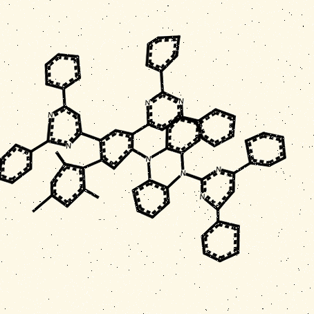 Cc1cc(C)c(-c2cc(N3c4ccccc4N(c4nc(-c5ccccc5)cc(-c5ccccc5)n4)c4ccccc43)c(-c3cc(-c4ccccc4)nc(-c4ccccc4)n3)cc2-c2cc(-c3ccccc3)nc(-c3ccccc3)n2)c(C)c1